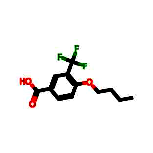 CCCCOc1ccc(C(=O)O)cc1C(F)(F)F